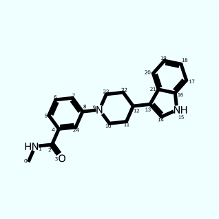 CNC(=O)c1cccc(N2CCC(c3c[nH]c4ccccc34)CC2)c1